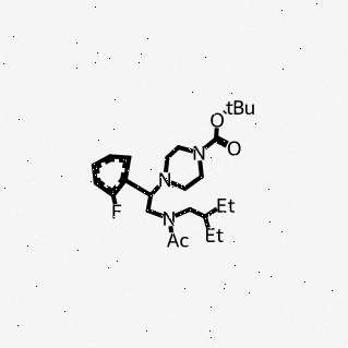 CCC(CC)CN(CC(c1ccccc1F)N1CCN(C(=O)OC(C)(C)C)CC1)C(C)=O